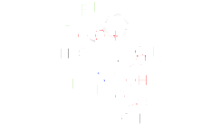 CCC1(C(=O)O)C(COC(C)=O)NC(CF)C(C)(C(=O)O)C1c1cccc(F)c1CC(F)F